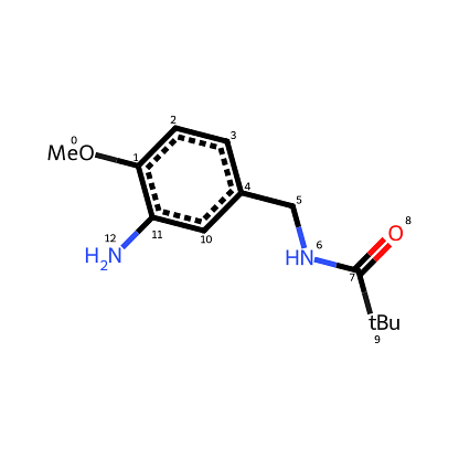 COc1ccc(CNC(=O)C(C)(C)C)cc1N